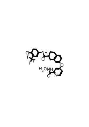 CNC(=O)c1cc(Oc2ccc3c(c2)CC(C(=O)Nc2ccc(Cl)c(C(F)(F)F)c2)CC3)ccn1